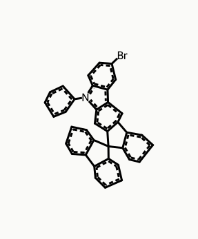 Brc1ccc2c(c1)c1cc3c(cc1n2-c1ccccc1)C1(c2ccccc2-c2ccccc21)c1ccccc1-3